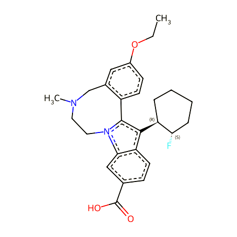 CCOc1ccc2c(c1)CN(C)CCn1c-2c([C@H]2CCCC[C@@H]2F)c2ccc(C(=O)O)cc21